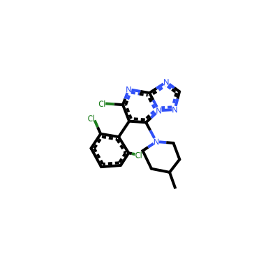 CC1CCN(c2c(-c3c(Cl)cccc3Cl)c(Cl)nc3ncnn23)CC1